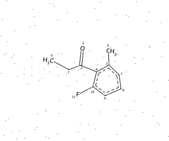 CCC(=O)c1c(C)cccc1F